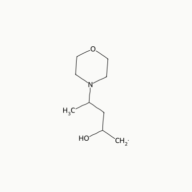 [CH2]C(O)CC(C)N1CCOCC1